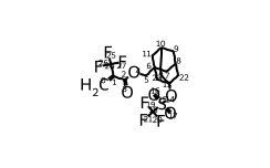 C=C(C(=O)OCC12CC3CC(C1)CC(OS(=O)(=O)C(F)(F)F)(C3)C2)C(F)(F)F